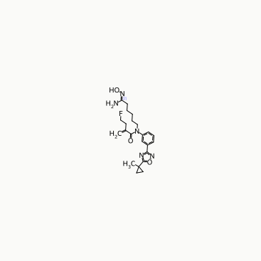 C=C(CCF)C(=O)N(CCCCC/C(N)=N/O)c1cccc(-c2noc(C3(C)CC3)n2)c1